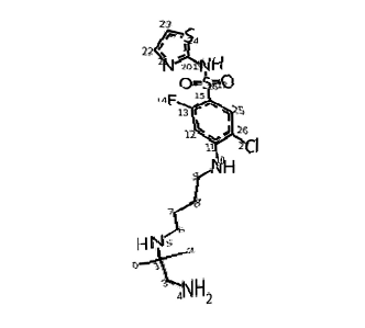 CC(C)(CN)NCCCCNc1cc(F)c(S(=O)(=O)Nc2nccs2)cc1Cl